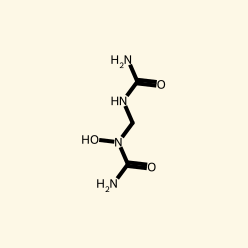 NC(=O)NCN(O)C(N)=O